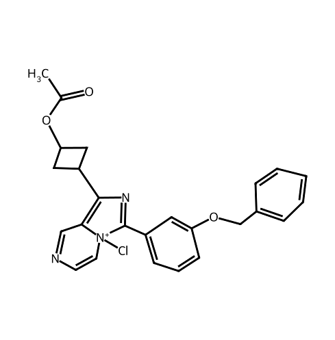 CC(=O)OC1CC(C2=C3C=NC=C[N+]3(Cl)C(c3cccc(OCc4ccccc4)c3)=N2)C1